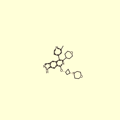 Cc1cc(-c2c(C3CCOCC3)nc(O[C@H]3C[C@@H](N4CCOCC4)C3)c3cc4[nH]ncc4cc23)ccn1